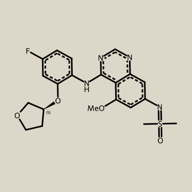 COc1cc(N=S(C)(C)=O)cc2ncnc(Nc3ccc(F)cc3O[C@H]3CCOC3)c12